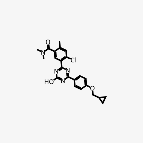 Cc1cc(Cl)c(-c2nc(O)nc(-c3ccc(OCC4CC4)cc3)n2)cc1C(=O)N(C)C